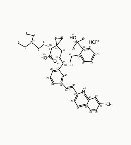 CCN(CC)CC[C@@H](C(=O)O)C1(CS[C@H](CCc2ccccc2C(C)(C)O)c2cccc(/C=C/c3ccc4ccc(Cl)cc4n3)c2)CC1.Cl